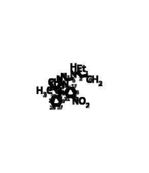 C=CCC(CC)NCc1nnc(CN(C)C)n1-c1ccc([N+](=O)[O-])cc1C(=O)c1ccccc1